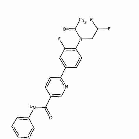 CC(=O)N(CC(F)F)c1ccc(-c2ccc(C(=O)Nc3cccnc3)cn2)cc1F